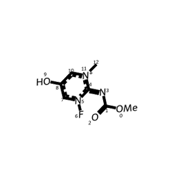 COC(=O)/N=c1\n(F)cc(O)c[n+]1C